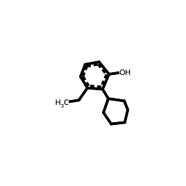 CCc1cccc(O)c1C1CCCCC1